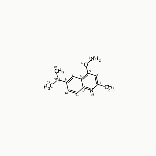 Cc1cc(ON)c2cc(N(C)C)ccc2n1